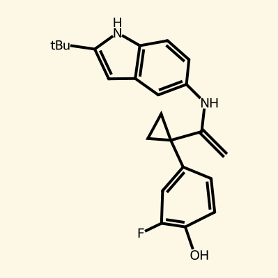 C=C(Nc1ccc2[nH]c(C(C)(C)C)cc2c1)C1(c2ccc(O)c(F)c2)CC1